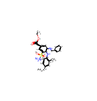 CCOC(=O)c1cc(NCc2ccccc2)c(Nc2ccc(C)cc2C)c(S(N)(=O)=O)c1